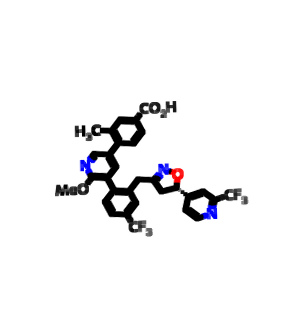 COc1ncc(-c2ccc(C(=O)O)cc2C)cc1-c1ccc(C(F)(F)F)cc1CC1=NO[C@H](c2ccnc(C(F)(F)F)c2)C1